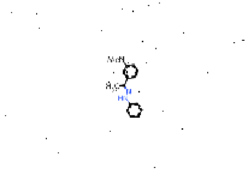 CNc1cccc(/C(C)=N/Nc2ccccc2)c1